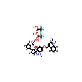 Cc1cc(COc2ccc([C@@]3(N)CCN([C@@H]4CCC[C@@H]4C(=O)NO)C3=O)cc2)c2ccccc2n1.O=C(O)C(F)(F)F.O=C(O)C(F)(F)F